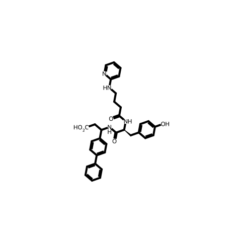 O=C(O)CC(NC(=O)[C@H](Cc1ccc(O)cc1)NC(=O)CCCNc1ccccn1)c1ccc(-c2ccccc2)cc1